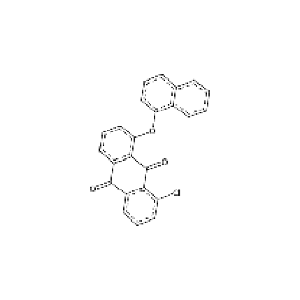 O=C1c2cccc(Cl)c2C(=O)c2c(Oc3cccc4ccccc34)cccc21